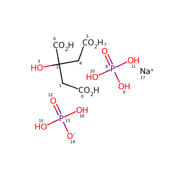 O=C(O)CC(O)(CC(=O)O)C(=O)O.O=P(O)(O)O.O=P([O-])(O)O.[Na+]